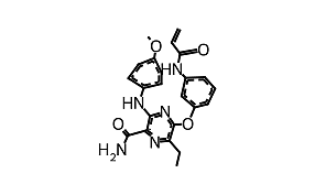 C=CC(=O)Nc1cccc(Oc2nc(Nc3ccc(OC)cc3)c(C(N)=O)nc2CC)c1